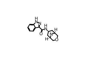 CN1[C@@H]2COC[C@H]1C[C@@H](NC(=O)c1n[nH]c3ccccc13)C2